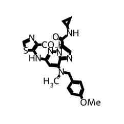 COc1ccc(CN(C)c2cc(Nc3scnc3C(=O)O)nn3c(C(=O)NC4CC4)cnc23)cc1